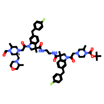 CC1CN(CC(=O)N2CC(C)(C(=O)NCCNC(=O)C3(C)CN(C(=O)CN4CCN(C(=O)OC(C)(C)C)C(C)C4)c4cc(Cc5ccc(F)cc5)ccc43)c3ccc(Cc4ccc(F)cc4)cc32)[C@@H](CN2CCOCC2C)CN1C=O